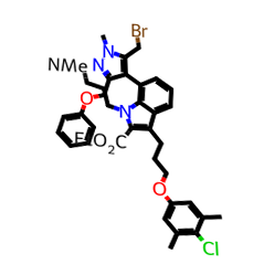 CCOC(=O)c1c(CCCOc2cc(C)c(Cl)c(C)c2)c2cccc(-c3c(COc4ccccc4)nn(C)c3CBr)c2n1CCCNC